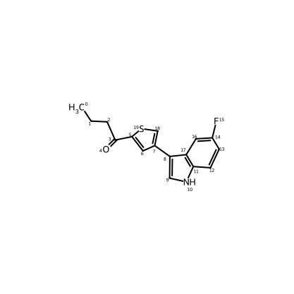 CCCC(=O)c1cc(-c2c[nH]c3ccc(F)cc23)cs1